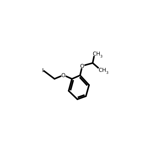 CC(C)Oc1ccccc1OCI